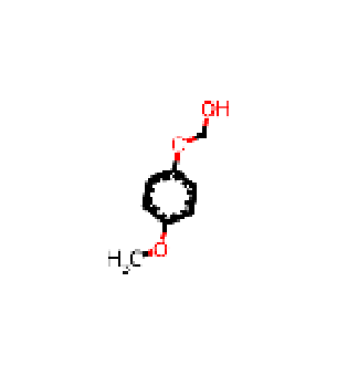 COc1ccc(OCO)cc1